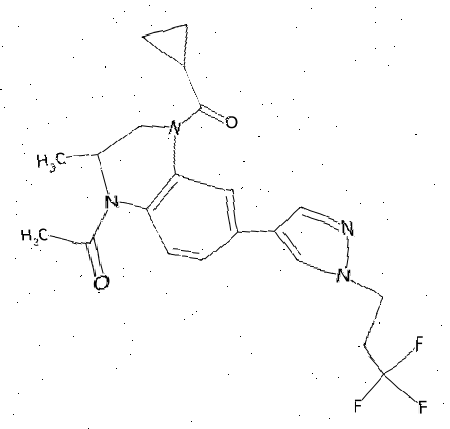 CC(=O)N1c2ccc(-c3cnn(CCC(F)(F)F)c3)cc2N(C(=O)C2CC2)CC1C